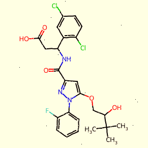 CC(C)(C)C(O)COc1cc(C(=O)NC(CC(=O)O)c2cc(Cl)ccc2Cl)nn1-c1ccccc1F